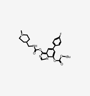 CN1CCC(CNC(=O)Oc2ncnc3c(OC(=O)OC(C)(C)C)cc(-c4ccc(F)cc4)cc23)CC1